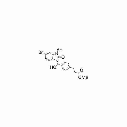 COC(=O)CCc1ccc(C(O)=C2C(=O)N(C(C)=O)c3cc(Br)ccc32)cc1